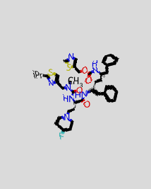 CC(C)c1nc(CN(C)C(=O)N[C@@H](CCN2CCC(F)CC2)C(=O)N[C@H](CC[C@H](Cc2ccccc2)NC(=O)OCc2cncs2)Cc2ccccc2)cs1